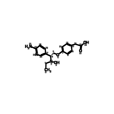 CCN(O)[C@@H](COc1ccc(CC(=O)O)cc1)c1ccc(N)nc1